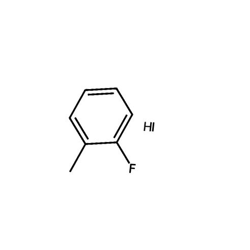 Cc1ccccc1F.I